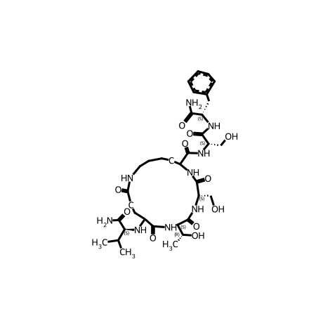 CC(C)[C@H](NC1CCC(=O)NCCCCC(C(=O)N[C@@H](CO)C(=O)N[C@@H](Cc2ccccc2)C(N)=O)NC(=O)[C@H](CO)NC(=O)[C@H]([C@@H](C)O)NC1=O)C(N)=O